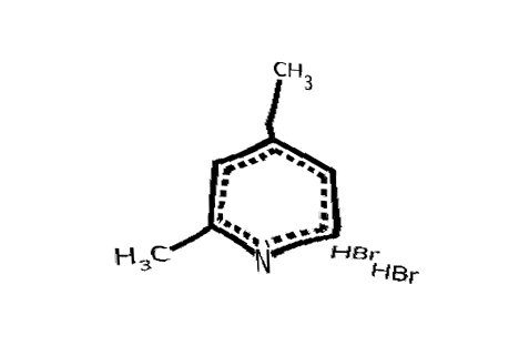 Br.Br.Cc1ccnc(C)c1